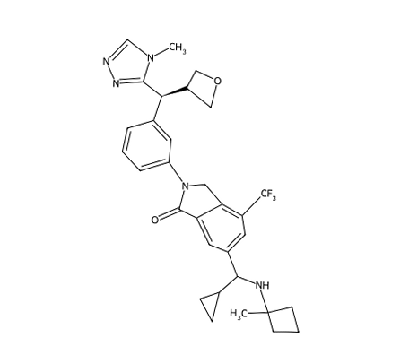 Cn1cnnc1[C@H](c1cccc(N2Cc3c(cc(C(NC4(C)CCC4)C4CC4)cc3C(F)(F)F)C2=O)c1)C1COC1